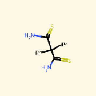 CC(C)C(C(N)=S)(C(N)=S)C(C)C